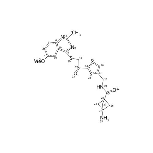 COc1ccc2nc(C)nc(SCC(=O)c3ccc(CNC(=O)C45CC(N)(C4)C5)s3)c2c1